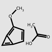 CC(=O)O.COc1ccc2cc1-2